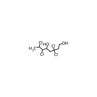 CC(Cl)C(Cl)C(O)CC(Cl)(Cl)CCO